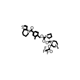 Cc1cc(C(=O)N2CCCCc3sccc32)ccc1COC(=O)N1CCC[C@@H]1C(=O)N1CCCN(C)CC1OC(=O)C(F)(F)F